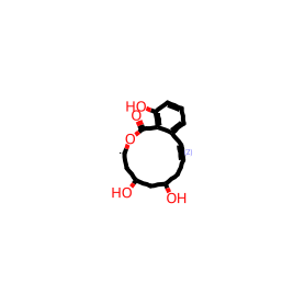 O=C1O[CH]CC(O)CC(O)C/C=C\c2cccc(O)c21